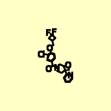 O=C(c1ccc(OCC2CC(F)(F)C2)c(Cl)c1)N1CCC2(c3ccccn3)COC2C1